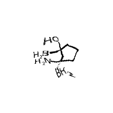 B[C@@]1(N)CCC[C@@]1(B)O